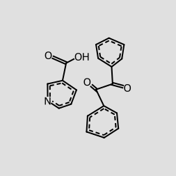 O=C(C(=O)c1ccccc1)c1ccccc1.O=C(O)c1cccnc1